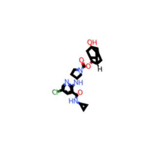 O=C(NC1CC1)c1cc(Cl)cnc1N[C@@H]1CCN(C(=O)OC2C3CC4C[C@H]2C[C@@](O)(C4)C3)C1